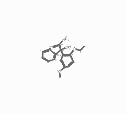 CCOc1ccc(OC)cc1C1(O)C(N)=Nc2ccccc21